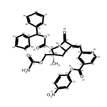 C[C@@]1(COC(N)=O)CC2/C(=C\c3cc(C(=O)Oc4ccc([N+](=O)[O-])cc4)ccn3)C(=O)N2[C@H]1C(=O)OC(c1ccccc1)c1ccccc1